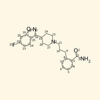 NC(=O)c1ccccc1CCCN1CCC(c2noc3cc(F)ccc23)CC1